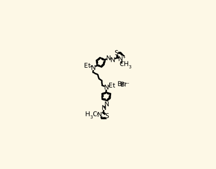 CCN(CCCCCN(CC)c1ccc(N=Nc2scc[n+]2C)cc1)c1ccc(N=Nc2scc[n+]2C)cc1.[Br-].[Br-]